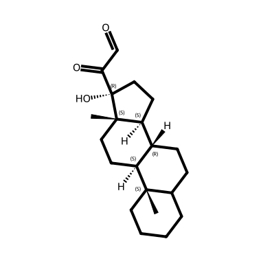 C[C@]12CCCCC1CC[C@@H]1[C@@H]2CC[C@@]2(C)[C@H]1CC[C@]2(O)C(=O)C=O